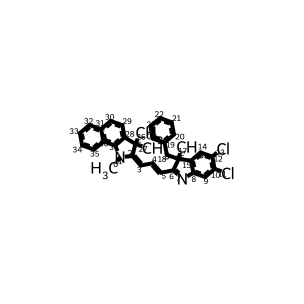 CN1/C(=C/C=C/C2=Nc3cc(Cl)c(Cl)cc3C2(C)Cc2ccccc2)C(C)(C)c2ccc3ccccc3c21